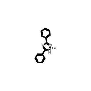 [Fe].c1ccc(-c2n[nH]c(-c3ccccc3)n2)cc1